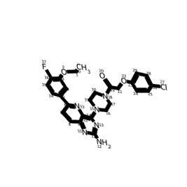 CCOc1cc(-c2ccc3nc(N)nc(N4CCN(C(=O)COc5ccc(Cl)cc5)CC4)c3n2)ccc1F